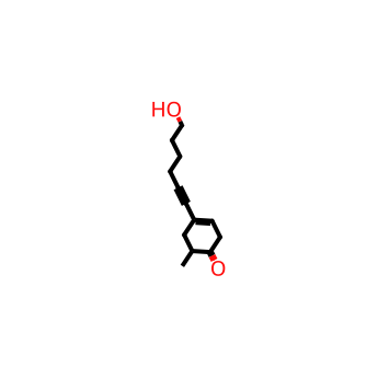 CC1CC(C#CCCCCO)=CCC1=O